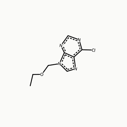 CCOCn1cnc2c(Cl)ncnc21